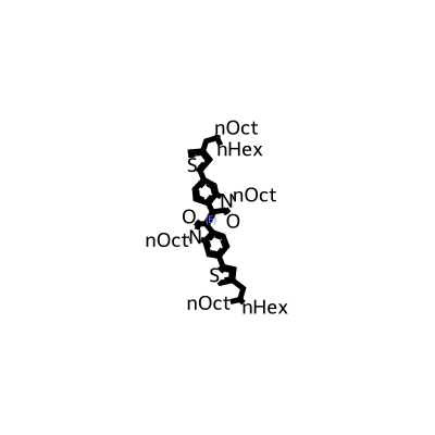 CCCCCCCCC(CCCCCC)Cc1csc(-c2ccc3c(c2)N(CCCCCCCC)C(=O)/C3=C2/C(=O)N(CCCCCCCC)c3cc(-c4cc(CC(CCCCCC)CCCCCCCC)cs4)ccc32)c1